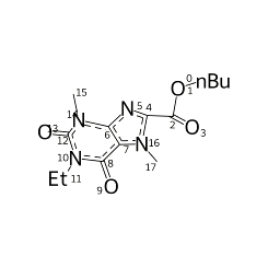 CCCCOC(=O)c1nc2c(c(=O)n(CC)c(=O)n2C)n1C